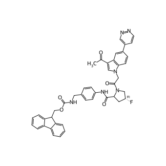 CC(=O)c1cn(CC(=O)N2C[C@H](F)CC2C(=O)Nc2ccc(CNC(=O)OCC3c4ccccc4-c4ccccc43)cc2)c2ccc(-c3ccnnc3)cc12